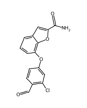 NC(=O)c1cc2cccc(Oc3ccc(C=O)c(Cl)c3)c2o1